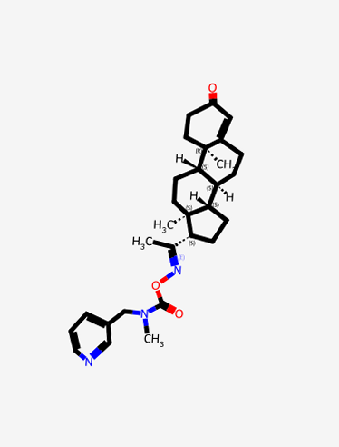 C/C(=N\OC(=O)N(C)Cc1cccnc1)[C@H]1CC[C@H]2[C@@H]3CCC4=CC(=O)CC[C@]4(C)[C@H]3CC[C@]12C